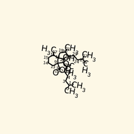 CC(C)CCCC(C)CC1(C(=O)O)CCCC(C)C1(CC(C)CCCC(C)C)C(=O)O